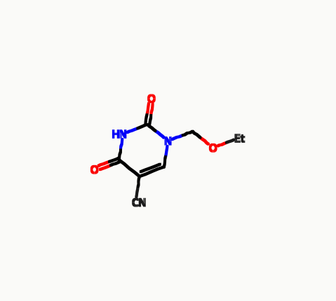 CCOCn1cc(C#N)c(=O)[nH]c1=O